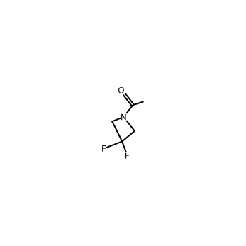 CC(=O)N1CC(F)(F)C1